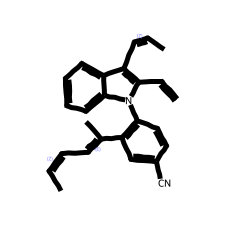 C=Cc1c(/C=C\C)c2ccccc2n1-c1ccc(C#N)cc1/C(C)=C/C=C\C